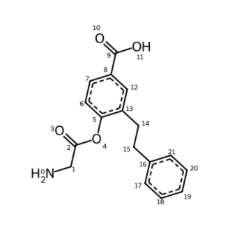 NCC(=O)Oc1ccc(C(=O)O)cc1CCc1ccccc1